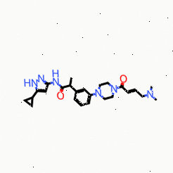 CC(C(=O)Nc1cc(C2CC2)[nH]n1)c1cccc(N2CCN(C(=O)/C=C/CN(C)C)CC2)c1